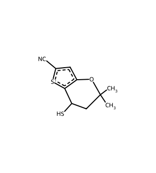 CC1(C)CC(S)c2sc(C#N)cc2O1